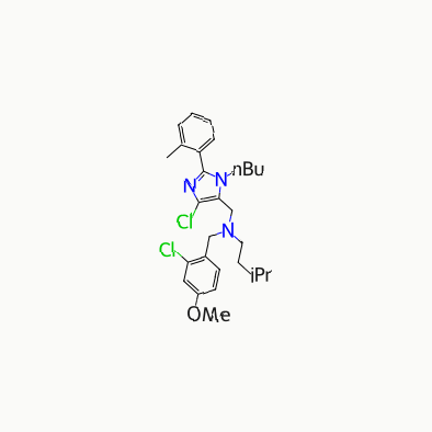 CCCCn1c(-c2ccccc2C)nc(Cl)c1CN(CCC(C)C)Cc1ccc(OC)cc1Cl